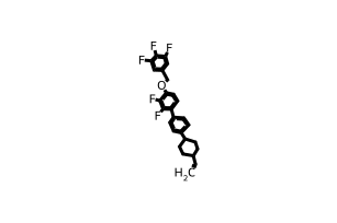 C=CC1CCC(c2ccc(-c3ccc(OCc4cc(F)c(F)c(F)c4)c(F)c3F)cc2)CC1